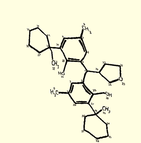 Cc1cc(C(c2cc(C)cc(C3(C)CCCCC3)c2O)C2CCOC2)c(O)c(C2(C)CCCCC2)c1